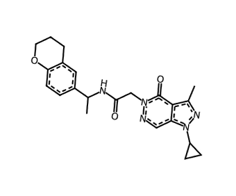 Cc1nn(C2CC2)c2cnn(CC(=O)NC(C)c3ccc4c(c3)CCCO4)c(=O)c12